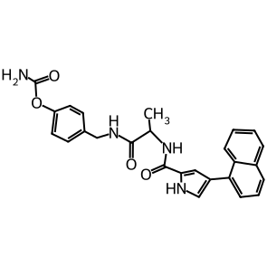 CC(NC(=O)c1cc(-c2cccc3ccccc23)c[nH]1)C(=O)NCc1ccc(OC(N)=O)cc1